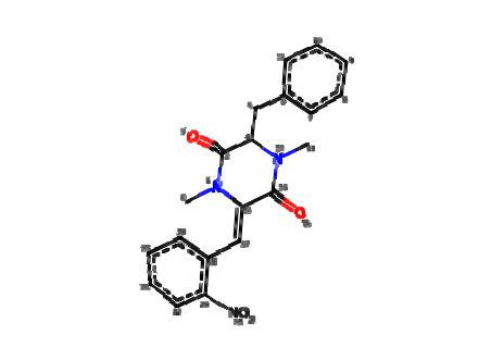 CN1C(=O)C(Cc2ccccc2)N(C)C(=O)C1=Cc1ccccc1[N+](=O)[O-]